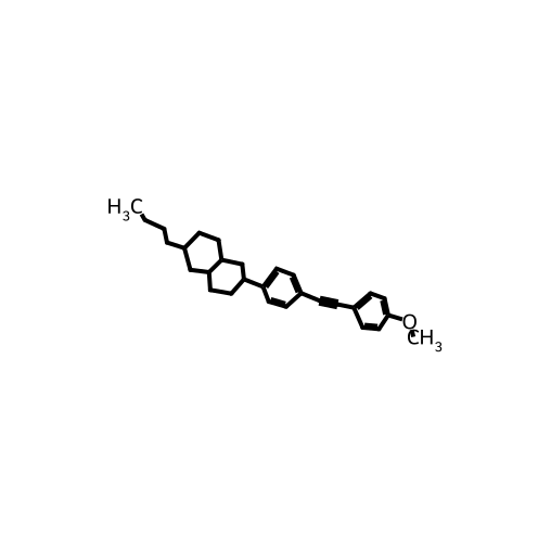 CCCCC1CCC2CC(c3ccc(C#Cc4ccc(OC)cc4)cc3)CCC2C1